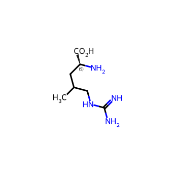 CC(CNC(=N)N)C[C@H](N)C(=O)O